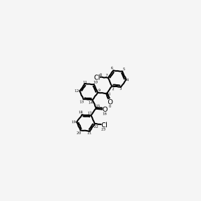 O=C(c1ccccc1Cl)c1ccccc1C(=O)c1ccccc1Cl